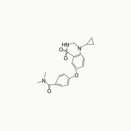 CN(C)C(=O)c1ccc(Oc2ccc3c(c2)S(=O)(=O)NCN3C2CC2)cc1